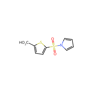 O=C(O)c1ccc(S(=O)(=O)n2cccc2)s1